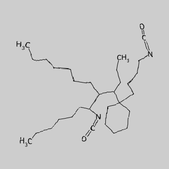 CCCCCCCC(C(CCCCCC)N=C=O)C(CCC)C1(CCCCN=C=O)CCCCC1